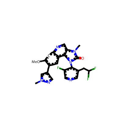 COc1cc2ncc3c(c2cc1-c1cnn(C)c1)n(-c1c(F)cncc1CC(F)F)c(=O)n3C